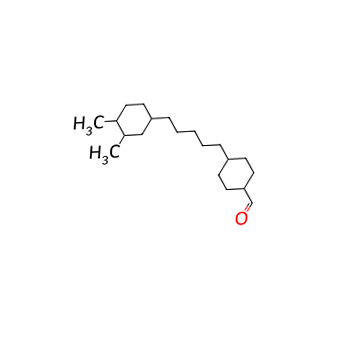 CC1CCC(CCCCCC2CCC(C=O)CC2)CC1C